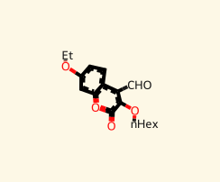 CCCCCCOc1c(C=O)c2ccc(OCC)cc2oc1=O